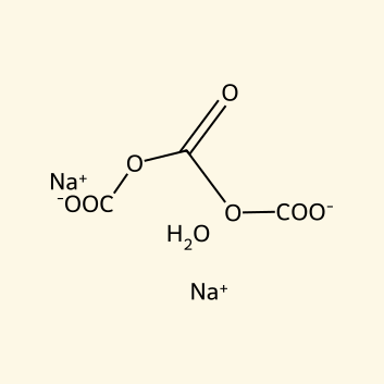 O.O=C([O-])OC(=O)OC(=O)[O-].[Na+].[Na+]